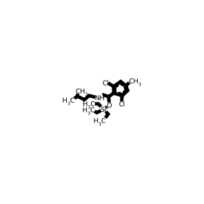 CC[Si](CC)(CC)OC(CNCCC(C)C)c1c(Cl)cc(C)cc1Cl